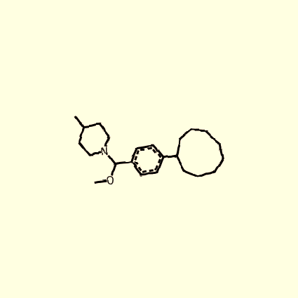 COC(c1ccc(C2CCCCCCCC2)cc1)N1CCC(C)CC1